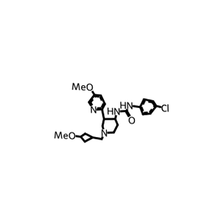 COc1ccc(C2CN(CC3CC(OC)C3)CCC2NC(=O)Nc2ccc(Cl)cc2)nc1